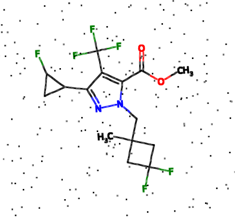 COC(=O)c1c(C(F)(F)F)c(C2CC2F)nn1CC1(C)CC(F)(F)C1